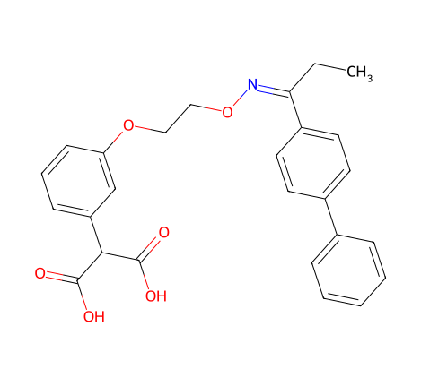 CCC(=NOCCOc1cccc(C(C(=O)O)C(=O)O)c1)c1ccc(-c2ccccc2)cc1